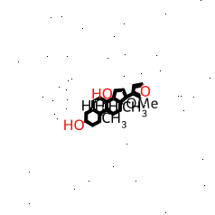 CO[C@]1(c2ccoc2)CC[C@]2(O)[C@@H]3CC[C@@H]4C[C@@H](O)CC[C@]4(C)[C@H]3CC[C@]12C